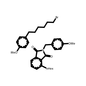 CCCCCCc1cccc2c1C(=O)N(Cc1ccc(OC)cc1)C2=O.COc1ccc(CCCCCCBr)cc1